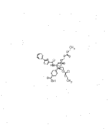 CCOC(=O)OCOP(=O)(C[C@H](NC(=O)c1csc(-c2ccccc2)n1)C(=O)N1CCN(C(=O)O)CC1)OCOC(=O)OCC